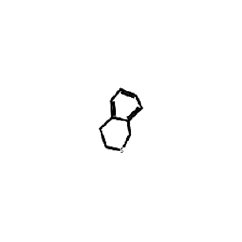 c1ccc2c(c1)CCSC2